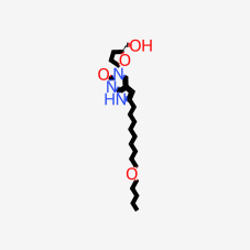 CCCCCOCCCCCCCCCc1cc2cn([C@@H]3CC[C@H](CO)O3)c(=O)nc2[nH]1